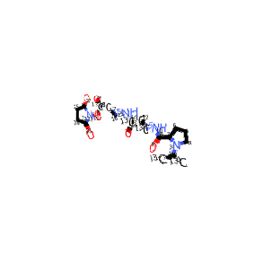 [13CH3]C([13CH3])N1CCCC1C(=O)[15NH][13CH2][13CH2][13C](=O)[15NH]C[13CH2][13C](=O)ON1C(=O)CCC1=O